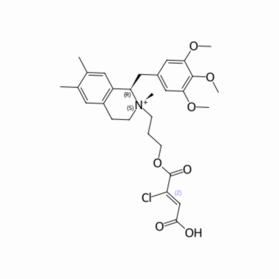 COc1cc(C[C@@H]2c3cc(C)c(C)cc3CC[N@@+]2(C)CCCOC(=O)/C(Cl)=C/C(=O)O)cc(OC)c1OC